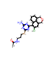 CCC(=O)NCCCSc1nc(N)nc(-c2c(Cl)cc3c4c(cccc24)COC3)n1